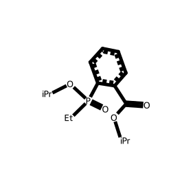 CCP(=O)(OC(C)C)c1ccccc1C(=O)OC(C)C